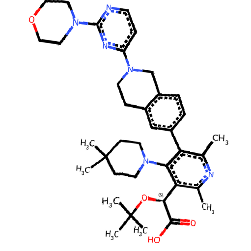 Cc1nc(C)c([C@H](OC(C)(C)C)C(=O)O)c(N2CCC(C)(C)CC2)c1-c1ccc2c(c1)CCN(c1ccnc(N3CCOCC3)n1)C2